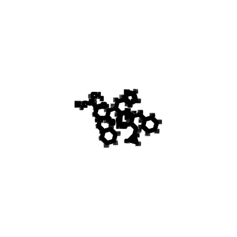 CN(C)C(=O)CN(CC1CCCCC1)C(=O)C[C@@H](Cc1nccs1)C(=O)N[C@@H](CC1CCCCC1)[C@@H](O)CC1CC1